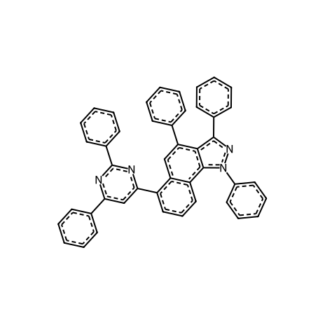 c1ccc(-c2cc(-c3cccc4c3cc(-c3ccccc3)c3c(-c5ccccc5)nn(-c5ccccc5)c34)nc(-c3ccccc3)n2)cc1